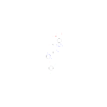 O=C(O)c1ccc2nc(CN3CC=C(c4ncc(F)c(OCc5ccc(Cl)cc5F)n4)CC3)n(C[C@@H]3CCO3)c2c1